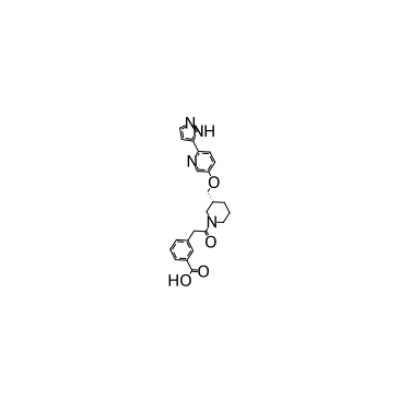 O=C(O)c1cccc(CC(=O)N2CCC[C@@H](COc3ccc(-c4ccn[nH]4)nc3)C2)c1